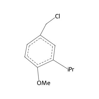 COc1ccc(CCl)cc1C(C)C